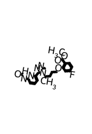 COC(=O)c1ccc(F)cc1OCCC[C@@H](C)n1cnnc1-c1cccc(NC=O)n1